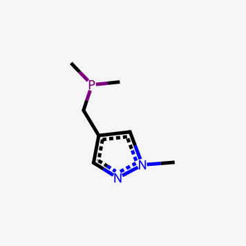 Cn1cc(CP(C)C)cn1